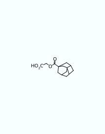 O=C(O)COC(=O)C12CC3CC4CC(C1)C4(C3)C2